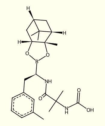 Cc1cccc(C[C@H](NC(=O)C(C)(C)NC(=O)O)B2O[C@@H]3C[C@@H]4C[C@@H](C4(C)C)[C@]3(C)O2)c1